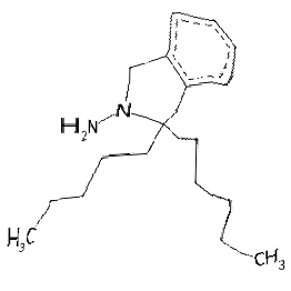 CCCCCC1(CCCCC)c2ccccc2CN1N